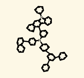 c1ccc(-c2cc(-c3ccccc3)cc(-c3ccc(N(c4ccc(-c5cccc6ccccc56)cc4)c4cccc(-c5c6ccccc6cc6c5c5ccccc5n6-c5ccccc5)c4)cc3)c2)cc1